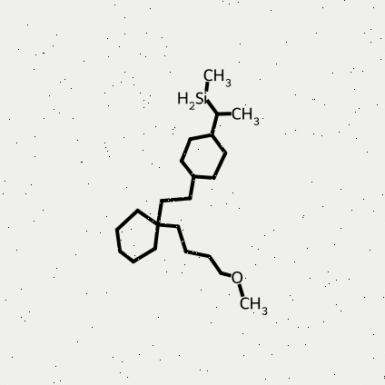 COCCCCC1(CCC2CCC(C(C)[SiH2]C)CC2)CCCCC1